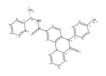 C[C@H](NC(=O)c1ccc2c(c1)C1C=COC=C1C(=O)N2c1ccc(C(F)(F)F)cc1)c1ccccn1